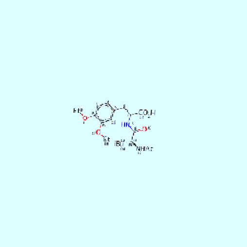 CCOc1ccc(CC(NC(=O)[C@@H](NC(C)=O)[C@@H](C)CC)C(=O)O)cc1OCC